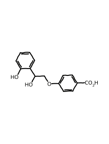 O=C(O)c1ccc(OCC(O)c2ccccc2O)cc1